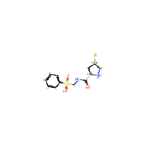 O=C(NCS(=O)(=O)c1ccccc1)[C@@H]1C[C@@H](F)CN1